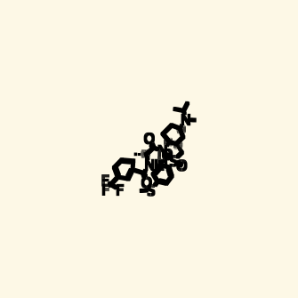 CSc1ccc(S(=O)(=O)C[C@@H]2C[C@H](N(C)C(C)C)CC[C@@H]2NC(=O)[C@@H](C)NC(=O)c2cccc(C(F)(F)F)c2)cc1